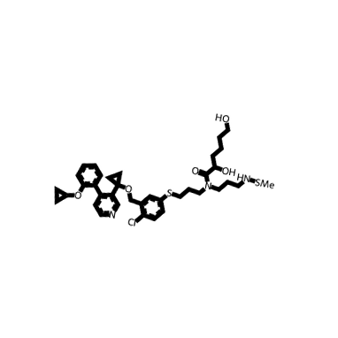 CSNCCCN(CCCSc1ccc(Cl)c(COC2(c3cnccc3-c3ccccc3OC3CC3)CC2)c1)C(=O)C(O)CCCCO